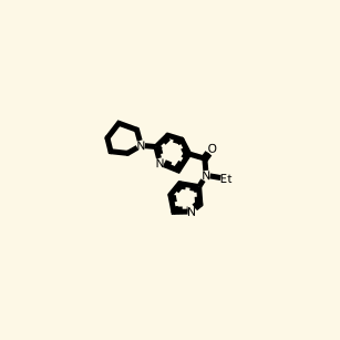 CCN(C(=O)c1ccc(N2CCCCC2)nc1)c1cccnc1